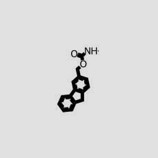 [NH]C(=O)OCc1ccc2c(c1)-c1ccccc1C2